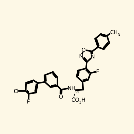 Cc1ccc(-c2nc(-c3ccc(C[C@@H](NC(=O)c4cccc(-c5ccc(Cl)c(F)c5)c4)C(=O)O)cc3F)no2)cc1